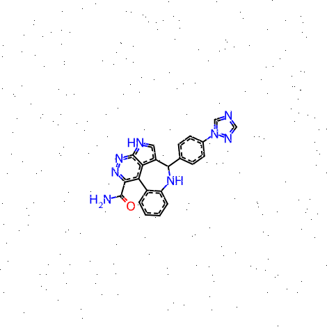 NC(=O)c1nnc2[nH]cc3c2c1-c1ccccc1NC3c1ccc(-n2cncn2)cc1